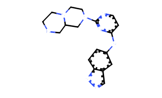 c1cc(Nc2ccc3[nH]ncc3c2)nc(N2CCN3CCNCC3C2)n1